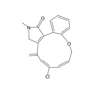 C=C1/C=C(Cl)\C=C/COc2ccccc2C2=C1CN(C)C2=O